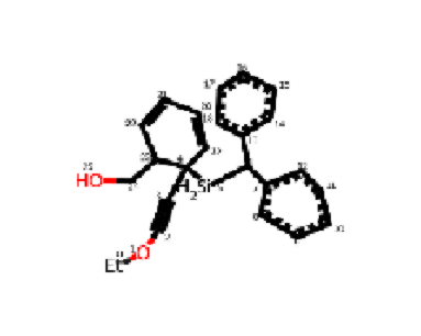 CCOC#CC1([SiH2]C(c2ccccc2)c2ccccc2)C=CC=CC1CO